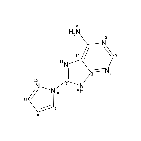 Nc1ncnc2[nH]c(-n3cccn3)nc12